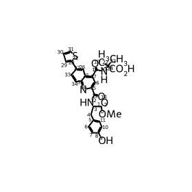 COC(=O)C(Cc1ccc(O)cc1)NC(=O)c1cc(C(=O)NC(C)(C)C(=O)O)c2cc(-c3cccs3)ccc2n1